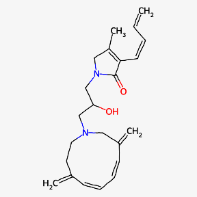 C=C/C=C\C1=C(C)CN(CC(O)CN2CCC(=C)/C=C\C=C/C(=C)C2)C1=O